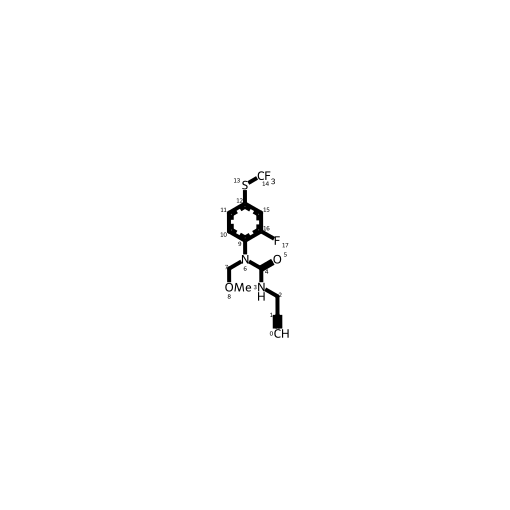 C#CCNC(=O)N(COC)c1ccc(SC(F)(F)F)cc1F